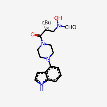 CCCC[C@H](CN(O)C=O)C(=O)N1CCN(c2cccc3[nH]ccc23)CC1